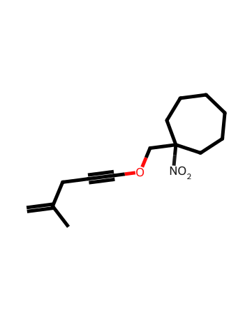 C=C(C)CC#COCC1([N+](=O)[O-])CCCCCC1